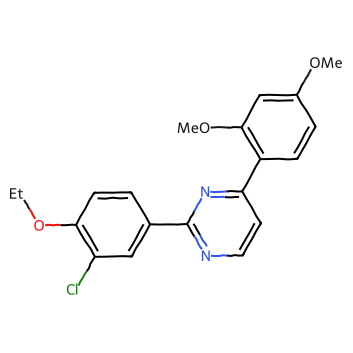 CCOc1ccc(-c2nccc(-c3ccc(OC)cc3OC)n2)cc1Cl